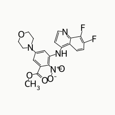 COC(=O)c1cc(N2CCOCC2)cc(Nc2ccnc3c(F)c(F)ccc23)c1[N+](=O)[O-]